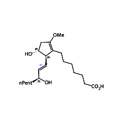 CCCCC[C@H](O)/C=C/[C@@H]1C(CCCCCCC(=O)O)=C(OC)C[C@H]1O